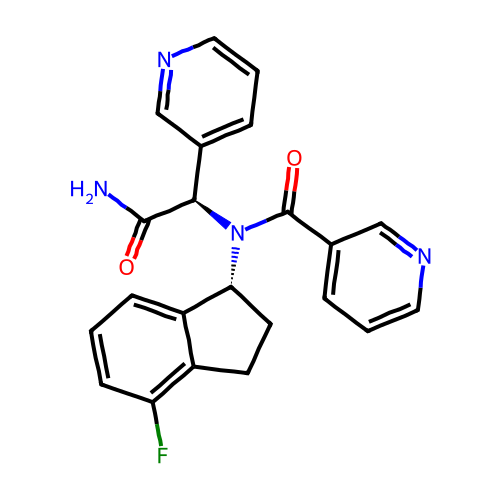 NC(=O)[C@@H](c1cccnc1)N(C(=O)c1cccnc1)[C@@H]1CCc2c(F)cccc21